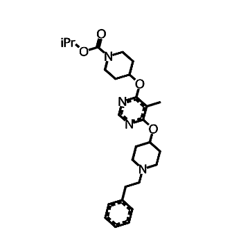 Cc1c(OC2CCN(CCc3ccccc3)CC2)ncnc1OC1CCN(C(=O)OC(C)C)CC1